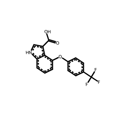 O=C(O)c1c[nH]c2cccc(Oc3ccc(C(F)(F)F)cc3)c12